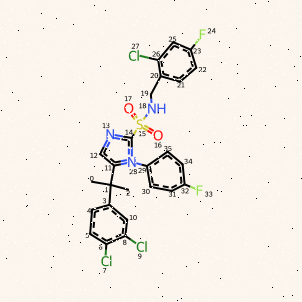 CC(C)(c1ccc(Cl)c(Cl)c1)c1cnc(S(=O)(=O)NCc2ccc(F)cc2Cl)n1-c1ccc(F)cc1